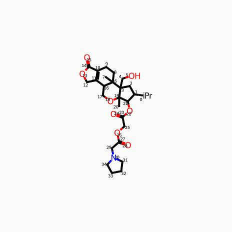 CC(C)C1CC2(CO)C3(C)CCC4=C(COC4=O)C3COC2(C)C1OC(=O)COC(=O)CN1CCCC1